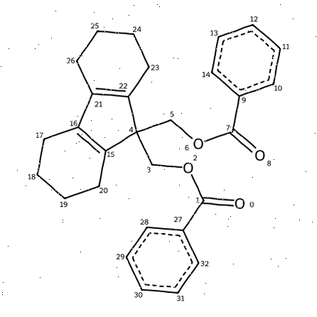 O=C(OCC1(COC(=O)c2ccccc2)C2=C(CCCC2)C2=C1CCCC2)c1ccccc1